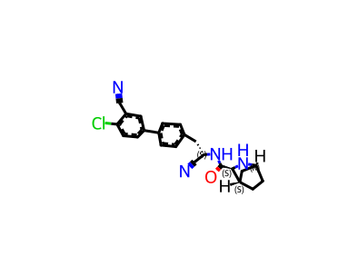 N#Cc1cc(-c2ccc(C[C@@H](C#N)NC(=O)[C@H]3N[C@@H]4CC[C@H]3C4)cc2)ccc1Cl